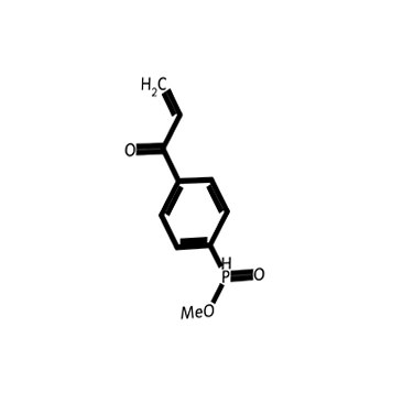 C=CC(=O)c1ccc([PH](=O)OC)cc1